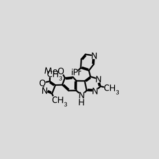 COc1cc2c(cc1-c1c(C)noc1C)[nH]c1nc(C)nc(-c3cnccc3C(C)C)c12